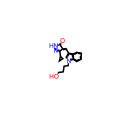 O=C1NN=C(C2CC2)C1=Cc1cn(CCCCO)c2ccccc12